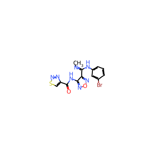 C/N=C(\Nc1cccc(Br)c1)c1nonc1NC(=O)c1csnn1